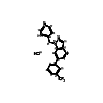 Cl.FC(F)(F)c1cccc(-c2cnc3cnn(Cc4ccncn4)c3c2)c1